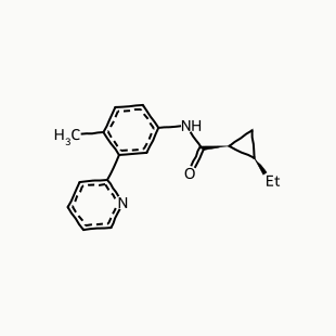 CC[C@@H]1C[C@@H]1C(=O)Nc1ccc(C)c(-c2ccccn2)c1